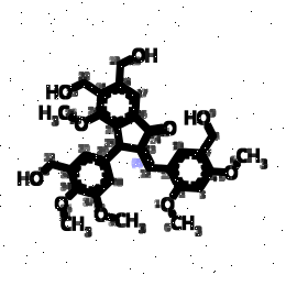 COc1cc(OC)c(CO)cc1/C=C1\C(=O)c2cc(CO)c(CO)c(OC)c2C1c1cc(CO)c(OC)c(OC)c1